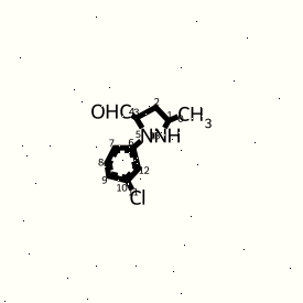 CC1CC(C=O)N(c2cccc(Cl)c2)N1